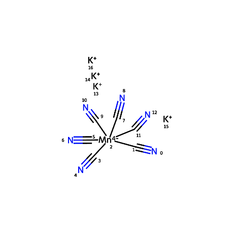 N#[C][Mn-4]([C]#N)([C]#N)([C]#N)([C]#N)[C]#N.[K+].[K+].[K+].[K+]